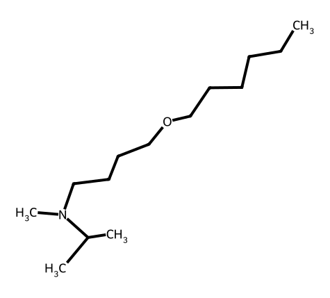 CCCCCCOCCCCN(C)C(C)C